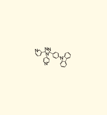 c1cncc(-c2nnc(-c3ccc(-n4c5ccccc5c5ccccc54)cc3)n2-c2ccncc2)c1